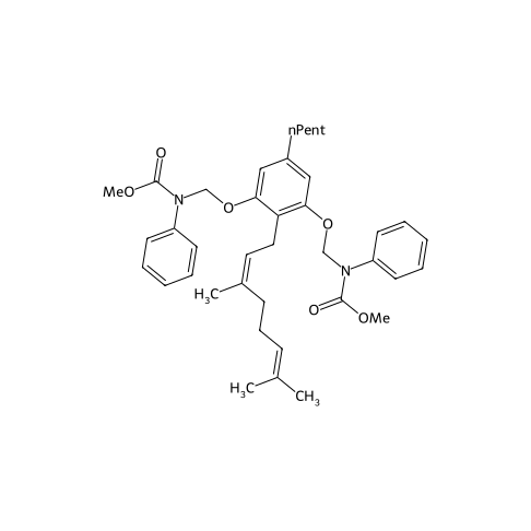 CCCCCc1cc(OCN(C(=O)OC)c2ccccc2)c(CC=C(C)CCC=C(C)C)c(OCN(C(=O)OC)c2ccccc2)c1